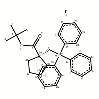 CC(C)(C)OC(=O)[C@]1(C[P+](c2ccccc2)(c2ccccc2)c2ccccc2)CCNC1.[I-]